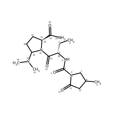 CC[C@H](NC(=O)N1CC(C)CC1=O)C(=O)N1C(N(C)C)CC[C@H]1C(N)=O